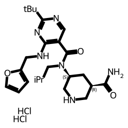 CC(C)CN(C(=O)c1cnc(C(C)(C)C)nc1NCc1ccco1)[C@@H]1CNC[C@H](C(N)=O)C1.Cl.Cl